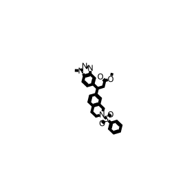 COC(=O)CC(c1ccc2c(c1)CN(S(=O)(=O)c1ccccc1)CC2)c1ccc2c(c1)nnn2C